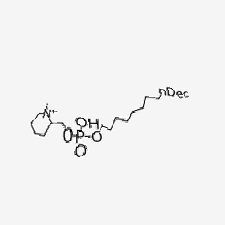 CCCCCCCCCCCCCCCCCCOP(=O)(O)OCC1CCCC[N+]1(C)C